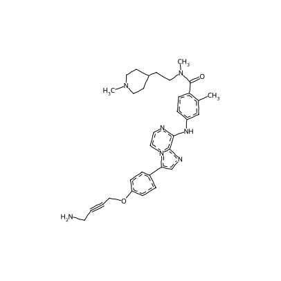 Cc1cc(Nc2nccn3c(-c4ccc(OCC#CCN)cc4)cnc23)ccc1C(=O)N(C)CCC1CCN(C)CC1